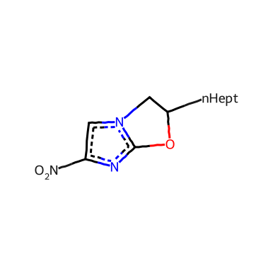 CCCCCCCC1Cn2cc([N+](=O)[O-])nc2O1